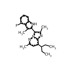 CCC(CC)c1cc(C)nn2c(-c3[nH]c4cccc(F)c4c3C)c(C)nc12